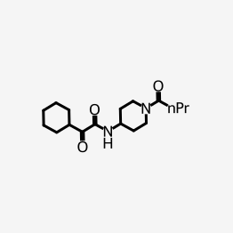 CCCC(=O)N1CCC(NC(=O)C(=O)C2CCCCC2)CC1